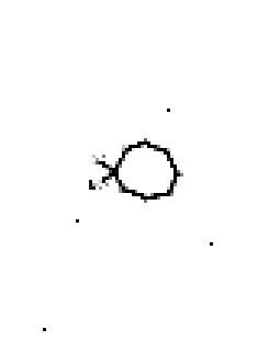 [CH2]CC1(S)CCCCCCC1